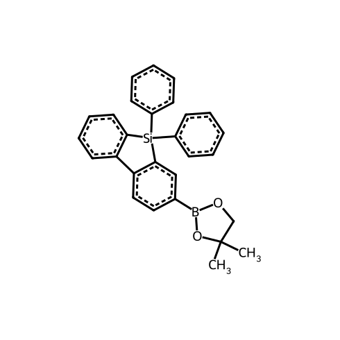 CC1(C)COB(c2ccc3c(c2)[Si](c2ccccc2)(c2ccccc2)c2ccccc2-3)O1